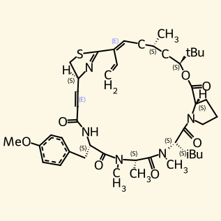 C=C/C1=C\C[C@H](C)C[C@@H](C(C)(C)C)OC(=O)[C@@H]2CCCN2C(=O)[C@H]([C@@H](C)CC)N(C)C(=O)[C@H](C)N(C)C(=O)[C@H](Cc2ccc(OC)cc2)NC(=O)/C=C/[C@H]2CSC1=N2